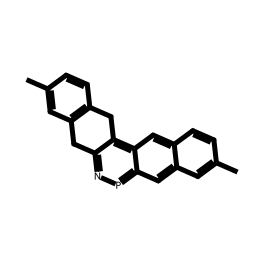 Cc1ccc2c(c1)Cc1npc3cc4cc(C)ccc4cc3c1C2